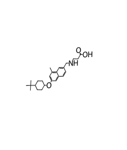 Cc1cc(OC2CCC(C(C)(C)C)CC2)cc2ccc(CNCCC(=O)O)cc12